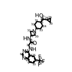 O=C(CNc1ncnc2ccc(C(F)(F)F)cc12)NC1CN(C2CCC([C@H](O)C3CC3)CC2)C1